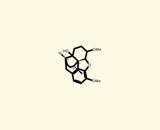 COc1ccc2c3c1OC1C(OC)CCC4(O)[C@H](CC[C@H](C)[C@]314)C2